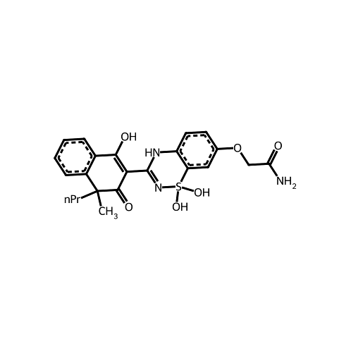 CCCC1(C)C(=O)C(C2=NS(O)(O)c3cc(OCC(N)=O)ccc3N2)=C(O)c2ccccc21